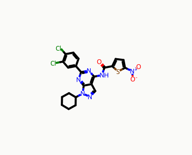 O=C(Nc1nc(-c2ccc(Cl)c(Cl)c2)nc2c1cnn2C1CCCCC1)c1ccc([N+](=O)[O-])s1